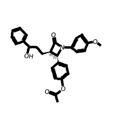 COc1ccc(N2C(=O)[C@H](CCC(O)c3ccccc3)[C@H]2c2ccc(OC(C)=O)cc2)cc1